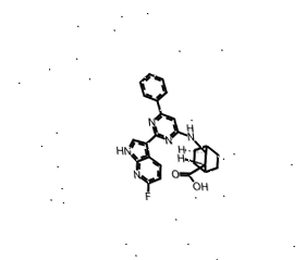 O=C(O)[C@H]1C2CCC(CC2)[C@@H]1Nc1cc(-c2ccccc2)nc(-c2c[nH]c3nc(F)ccc23)n1